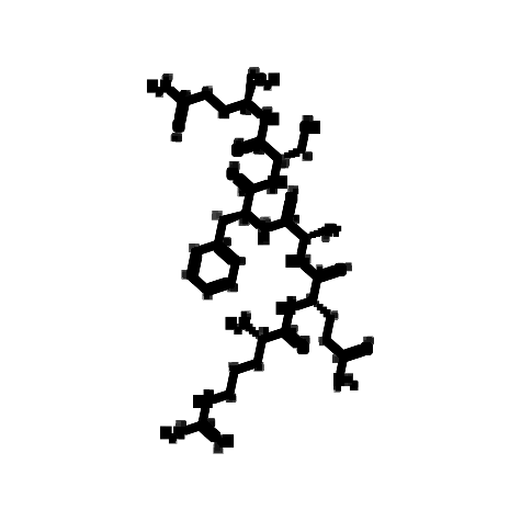 CC(C)[C@H](NC(=O)[C@H](CCC(N)=O)NC(=O)[C@@H](N)CCCNC(=N)N)C(=O)N[C@@H](Cc1ccccc1)C(=O)N[C@@H](CO)C(=O)N[C@@H](CCC(N)=O)C(=O)O